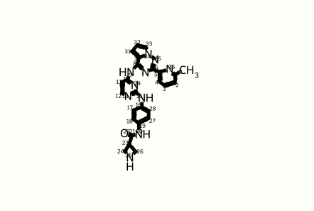 Cc1cccc(-c2nc(Nc3ccnc(Nc4ccc(NC(=O)C5CNC5)cc4)n3)c3cccn3n2)n1